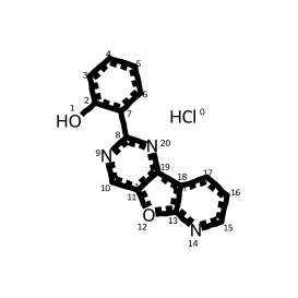 Cl.Oc1ccccc1-c1ncc2oc3ncccc3c2n1